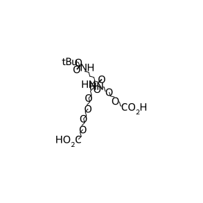 CC(C)(C)OC(=O)NCCCCC(NC(=O)CCOCCOCCOCCOCCC(=O)O)C(=O)NCCOCCOCCC(=O)O